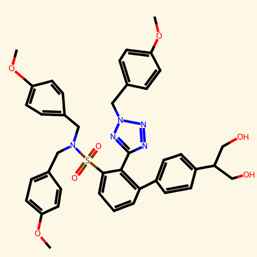 COc1ccc(CN(Cc2ccc(OC)cc2)S(=O)(=O)c2cccc(-c3ccc(C(CO)CO)cc3)c2-c2nnn(Cc3ccc(OC)cc3)n2)cc1